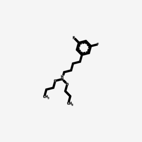 CCCO[SiH](CCCCc1cc(F)cc(F)c1)OCCC